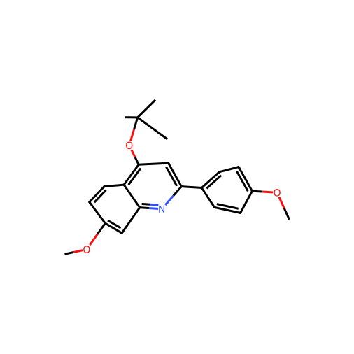 COc1ccc(-c2cc(OC(C)(C)C)c3ccc(OC)cc3n2)cc1